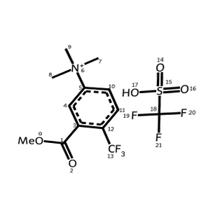 COC(=O)c1cc([N+](C)(C)C)ccc1C(F)(F)F.O=S(=O)(O)C(F)(F)F